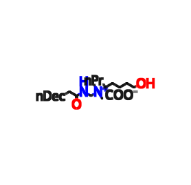 CCCCCCCCCCCC(=O)NC[N+](C)(C)C(CCC)(CCCCO)C(=O)[O-]